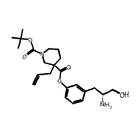 C=CCC1(C(=O)Oc2cccc(C[C@@H](N)CO)c2)CCCN(C(=O)OC(C)(C)C)C1